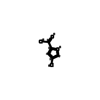 O=C(Cl)c1cc(Cl)co1